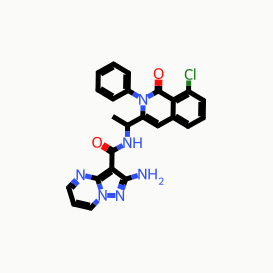 CC(NC(=O)c1c(N)nn2cccnc12)c1cc2cccc(Cl)c2c(=O)n1-c1ccccc1